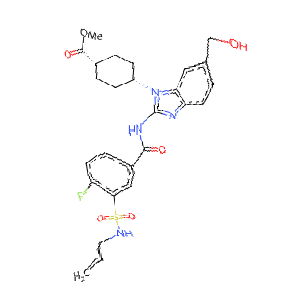 C=CCNS(=O)(=O)c1cc(C(=O)Nc2nc3ccc(CO)cc3n2[C@H]2CC[C@@H](C(=O)OC)CC2)ccc1F